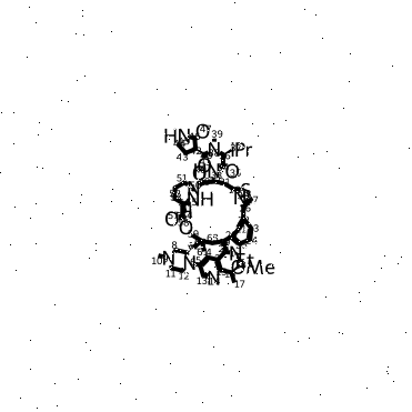 CCn1c(-c2cc(N3CCN(C)CC3)cnc2[C@H](C)OC)c2c3cc(ccc31)-c1csc(n1)C[C@H](NC(=O)[C@H](C(C)C)N(C)C(=O)[C@H]1CCNC1=O)C(=O)N1CCC[C@H](N1)C(=O)OCC(C)(C)C2